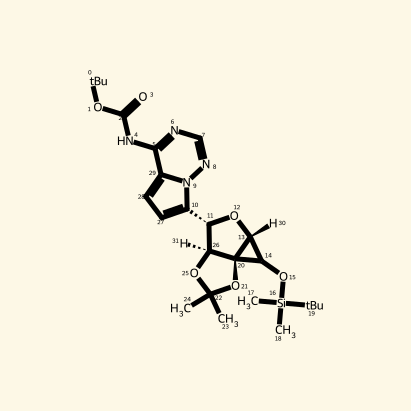 CC(C)(C)OC(=O)Nc1ncnn2c([C@@H]3O[C@@H]4C(O[Si](C)(C)C(C)(C)C)[C@@]45OC(C)(C)O[C@@H]35)ccc12